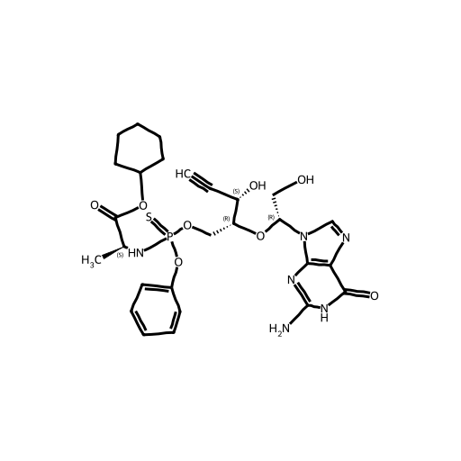 C#C[C@H](O)[C@@H](COP(=S)(N[C@@H](C)C(=O)OC1CCCCC1)Oc1ccccc1)O[C@H](CO)n1cnc2c(=O)[nH]c(N)nc21